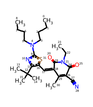 CCCCN(CCCC)c1nc(C(C)(C)C)c(/C=C2\C(=O)N(CC)C(=O)C(C#N)=C2C)s1